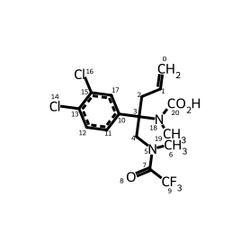 C=CCC(CN(C)C(=O)C(F)(F)F)(c1ccc(Cl)c(Cl)c1)N(C)C(=O)O